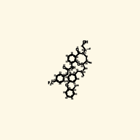 C[C@@H]1CN([C@@H](C)CO)C(=O)c2cccc(NC(=O)Cc3ccc(C(F)(F)F)cc3)c2O[C@@H]1CN(C)Cc1ccc(Oc2ccccc2F)cc1